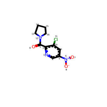 O=C(c1ncc([N+](=O)[O-])cc1Cl)N1CCCC1